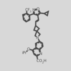 CC(C)Oc1cc(C(=O)O)nc2ccc(N3CC4(CC(C=Cc5c(-c6ccccc6C(F)(F)F)noc5C5CC5)C4)C3)cc12